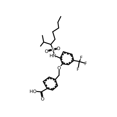 CCCCCC(C(C)C)S(=O)(=O)Nc1ccc(C(F)(F)F)cc1OCc1ccc(C(=O)O)cc1